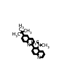 CN(C)c1c(-c2ccc3cc(C(C)(C)C)ccc3n2)ccc2ncccc12